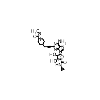 COC(=O)N1CCC(CC#Cc2nc(N)c3ncn([C@@H]4O[C@H](C(=O)NC5CC5)[C@H](O)C4O)c3n2)CC1